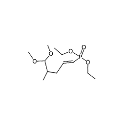 CCOP(=O)(C=CCC(C)C(OC)OC)OCC